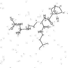 CC(C)C[CH]NC(=O)[C@H](CCCNC(=N)N[N+](=O)[O-])NC(=O)C1CC2CC[C@@H]1C2